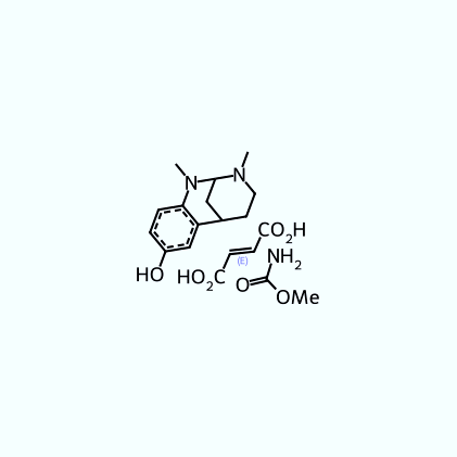 CN1CCC2CC1N(C)c1ccc(O)cc12.COC(N)=O.O=C(O)/C=C/C(=O)O